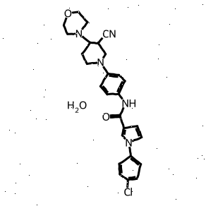 N#CC1CN(c2ccc(NC(=O)c3ccn(-c4ccc(Cl)cc4)c3)cc2)CCC1N1CCOCC1.O